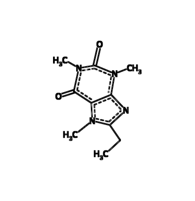 CCc1nc2c(c(=O)n(C)c(=O)n2C)n1C